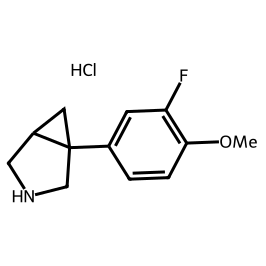 COc1ccc(C23CNCC2C3)cc1F.Cl